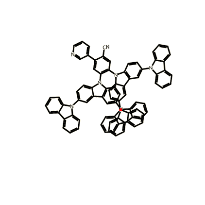 N#Cc1cc(-n2c3ccc(-n4c5ccccc5c5ccccc54)cc3c3cc(-n4c5ccccc5c5ccccc54)ccc32)c(-n2c3ccc(-n4c5ccccc5c5ccccc54)cc3c3cc(-n4c5ccccc5c5ccccc54)ccc32)cc1-c1cccnc1